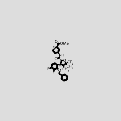 COC(=O)c1cc(NC(=O)[C@@H]2O[C@@](C)(C(F)(F)F)[C@@H](C)[C@H]2c2ccc(F)c(F)c2OCc2ccccc2)ccn1